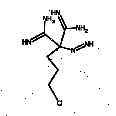 N=NC(CCCCl)(C(=N)N)C(=N)N